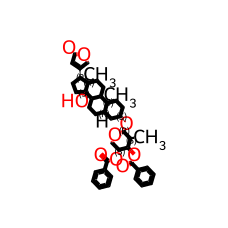 C[C@H]1C(OC(=O)c2ccccc2)[C@@H](OC(=O)c2ccccc2)CO[C@@H]1O[C@H]1CC[C@]2(C)C3CC[C@]4(C)[C@@H](C5=CC(=O)OC5)CC[C@]4(O)C3CC[C@@H]2C1